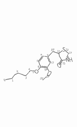 CCCCCOc1ccc(CC2SCNC2=O)cc1OC